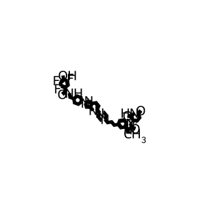 Cn1c(=O)n([C@@H]2CCC(=O)NC2=O)c2ccc(CCCN3CCN(c4ccc5nn(C6CCC(CNC(=O)c7cc(F)c(O)c(F)c7F)CC6)cc5n4)CC3)cc21